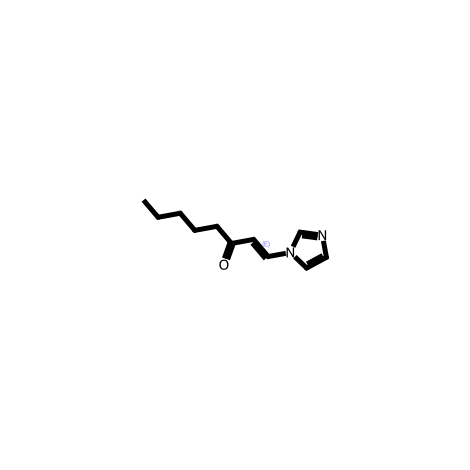 CCCCCC(=O)/C=C/n1ccnc1